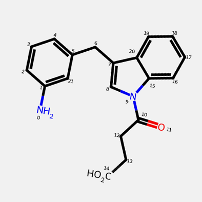 Nc1cccc(Cc2cn(C(=O)CCC(=O)O)c3ccccc23)c1